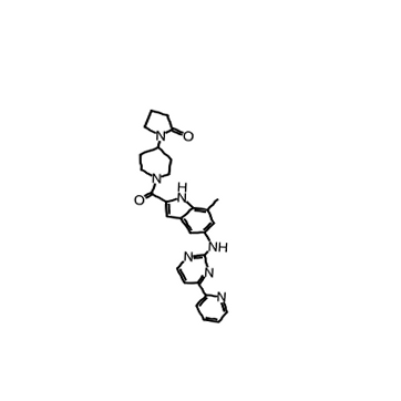 Cc1cc(Nc2nccc(-c3ccccn3)n2)cc2cc(C(=O)N3CCC(N4CCCC4=O)CC3)[nH]c12